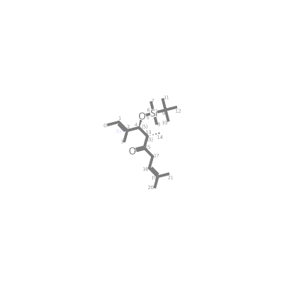 C/C=C(\C)[C@@H](O[Si](C)(C)C(C)(C)C)[C@H](C)C(=O)CC=C(C)C